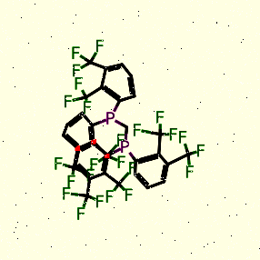 FC(F)(F)c1cccc(P(CP(c2cccc(C(F)(F)F)c2C(F)(F)F)c2cccc(C(F)(F)F)c2C(F)(F)F)c2cccc(C(F)(F)F)c2C(F)(F)F)c1C(F)(F)F